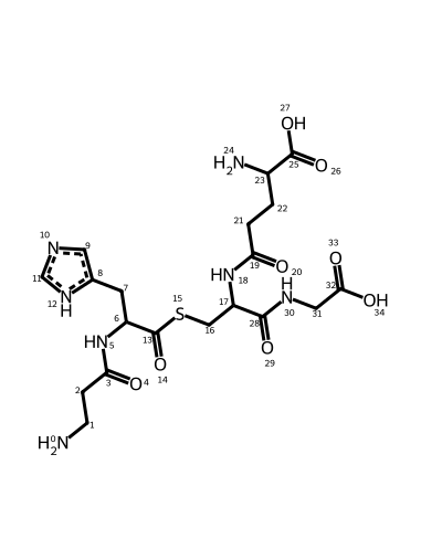 NCCC(=O)NC(Cc1cnc[nH]1)C(=O)SCC(NC(=O)CCC(N)C(=O)O)C(=O)NCC(=O)O